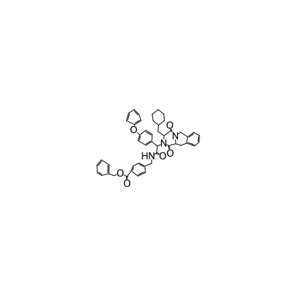 O=C(OCc1ccccc1)c1ccc(CNC(=O)C(c2ccc(Oc3ccccc3)cc2)N2C(=O)C3Cc4ccccc4CN3C(=O)C2CC2CCCCC2)cc1